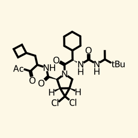 CC(=O)C(=O)C(CC1CCC1)NC(=O)[C@@H]1[C@@H]2[C@H](CN1C(=O)[C@@H](NC(=O)NC(C)C(C)(C)C)C1CCCCC1)C2(Cl)Cl